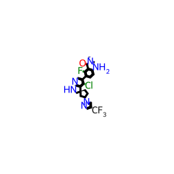 CN(C)C(=O)c1c(N)ccc(-c2cnc3c(c2Cl)[C@@]2(CC[C@@H](n4cc(C(F)(F)F)cn4)C2)CN3)c1F